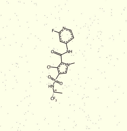 C[C@@H](NS(=O)(=O)c1cn(C)c(C(=O)Nc2ccnc(F)c2)c1Cl)C(F)(F)F